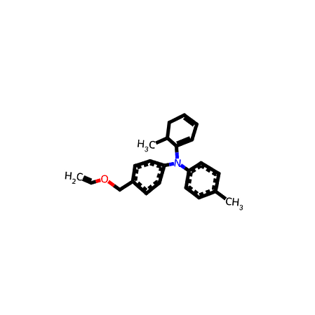 C=COCc1ccc(N(C2=CC=CCC2C)c2ccc(C)cc2)cc1